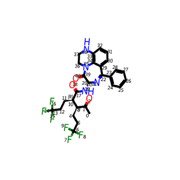 CC(=O)[C@@H](CCC(F)(F)F)[C@@H](CCC(F)(F)F)C(=O)N[C@H]1N=C(c2ccccc2)c2cccc3c2N(CCN3)C1=O